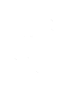 Cc1cc(-c2nc3cc(C(=O)NCCCc4ncc[nH]4)ccc3nc2-c2ccc(F)cc2)cnc1Cl